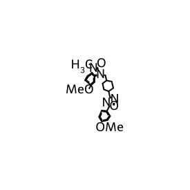 COc1ccc(-c2nc(C3CCC(Cn4c(=O)n(C)c5ccc(OC)cc54)CC3)no2)cc1